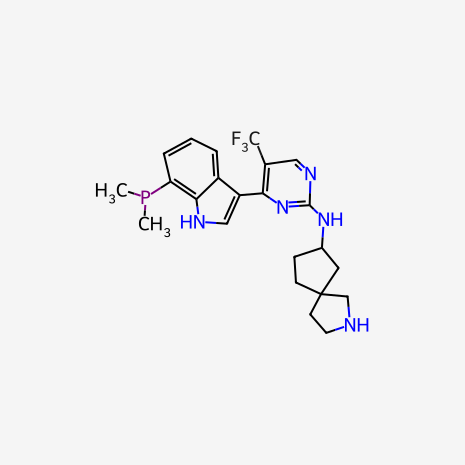 CP(C)c1cccc2c(-c3nc(NC4CCC5(CCNC5)C4)ncc3C(F)(F)F)c[nH]c12